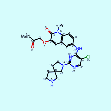 CNC(=O)COc1cc2cc(Nc3nc(N4CCC5(CCNC5)C4)ncc3Cl)ccc2n(C(C)C)c1=O